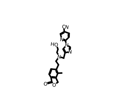 Cc1c(CCN(CCO)Cc2cn(-c3ccc(C#N)cn3)cn2)ccc2c1COC2=O